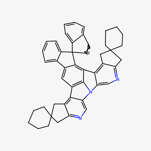 c1ccc2c(c1)-c1ccccc1C21c2ccccc2-c2cc3c4c5c(ncc4n4c6cnc7c(c6c(c21)c34)CC1(CCCCC1)C7)CC1(CCCCC1)C5